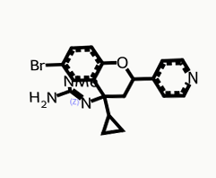 CN/C(N)=N\C1(C2CC2)CC(c2ccncc2)Oc2ccc(Br)cc21